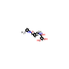 Cc1cccc(CNC(=O)Cc2cccc(CC(C)(C)NCC(O)c3cc(O)cc(O)c3)c2)c1